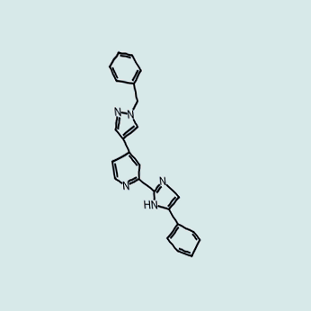 c1ccc(Cn2cc(-c3ccnc(-c4ncc(-c5ccccc5)[nH]4)c3)cn2)cc1